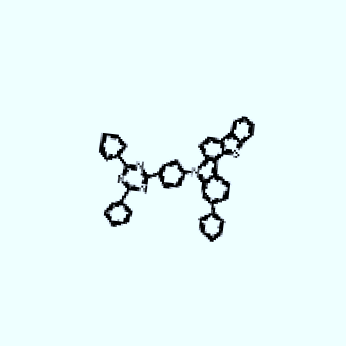 c1ccc(-c2ccc3c4c5sc6ccccc6c5ccc4n(-c4ccc(-c5nc(-c6ccccc6)nc(-c6ccccc6)n5)cc4)c3c2)cc1